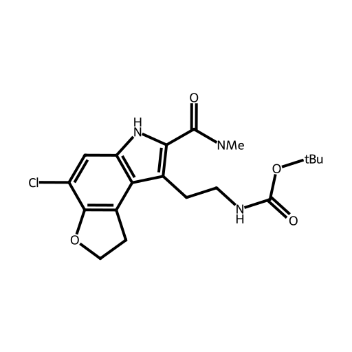 CNC(=O)c1[nH]c2cc(Cl)c3c(c2c1CCNC(=O)OC(C)(C)C)CCO3